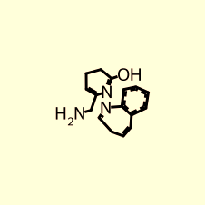 C1=Cc2ccccc2N=CC1.NCC1=CCCC(O)=N1